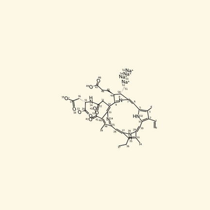 C=Cc1c(C)c2cc3nc(c(CC(=O)N[C@@H](CC(=O)[O-])C(=O)[O-])c4nc(cc5[nH]c(cc1[nH]2)c(C)c5CC)C(C)=C4C(=O)[O-])[C@@H](CCC(=O)[O-])[C@@H]3C.[Na+].[Na+].[Na+].[Na+]